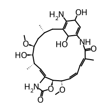 CO[C@H]1/C=C\C=C(/C)C(=O)NC2=CC(O)C(N)=C(C[C@@H](C)C[C@H](OC)[C@H](O)[C@@H](C)/C=C(\C)[C@@H]1OC(N)=O)C2O